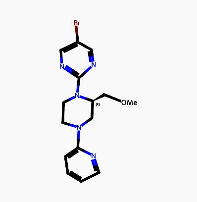 COC[C@H]1CN(c2ccccn2)CCN1c1ncc(Br)cn1